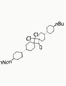 CCCCCCCCC[C@H]1CC[C@H](C2CCC3(CC2)C(=O)C2(CCC([C@H]4CC[C@H](CCCC)CC4)CC2)C3(Cl)Cl)CC1